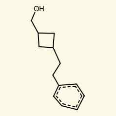 OCC1CC(CCc2ccccc2)C1